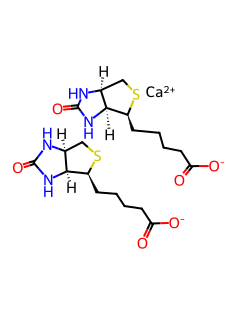 O=C([O-])CCCC[C@@H]1SC[C@@H]2NC(=O)N[C@@H]21.O=C([O-])CCCC[C@@H]1SC[C@@H]2NC(=O)N[C@@H]21.[Ca+2]